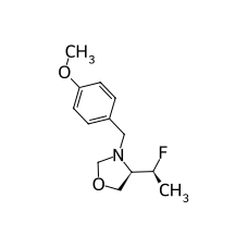 COc1ccc(CN2COC[C@@H]2[C@H](C)F)cc1